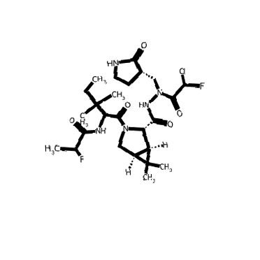 CCC(C)(C)C(NC(=O)C(C)F)C(=O)N1C[C@H]2[C@@H]([C@H]1C(=O)NN(C[C@@H]1CCNC1=O)C(=O)C(F)Cl)C2(C)C